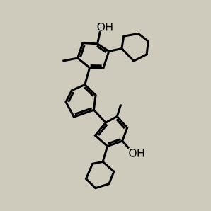 Cc1cc(O)c(C2CCCCC2)cc1-c1cccc(-c2cc(C3CCCCC3)c(O)cc2C)c1